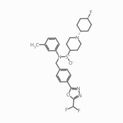 Cc1cccc(N(Cc2ccc(-c3nnc(C(F)F)o3)cc2)[S+]([O-])C2CCN([C@H]3CC[C@H](F)CC3)CC2)c1